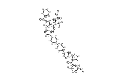 COC(=O)N[C@H](C(=O)N1CCC[C@H]1c1ncc(-c2ccc(-c3ccc(-c4cnc([C@@H]5CN(C(=O)c6ccccc6)CN5C(=O)[C@@H](NC(=O)OC)C(C)C)[nH]4)cc3)cc2)[nH]1)C(C)C